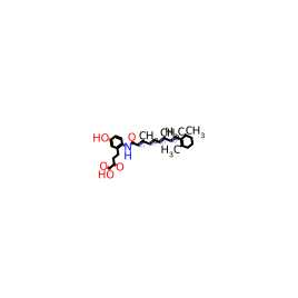 CC1=C(/C=C/C(C)=C/C=C/C(C)=C/C(=O)Nc2ccc(O)cc2CCC(=O)C(=O)O)C(C)(C)CCC1